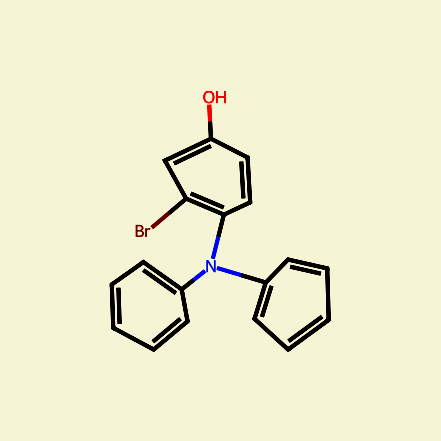 Oc1ccc(N(c2ccccc2)c2ccccc2)c(Br)c1